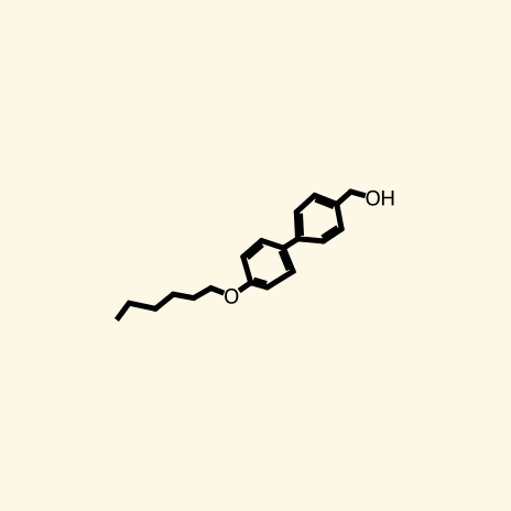 CCCCCCOc1ccc(-c2ccc(CO)cc2)cc1